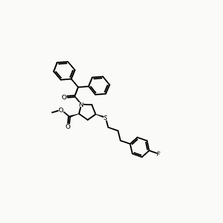 COC(=O)[C@@H]1C[C@H](SCCCc2ccc(F)cc2)CN1C(=O)C(c1ccccc1)c1ccccc1